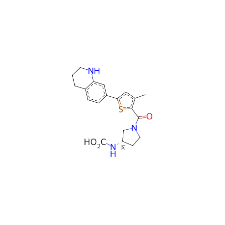 Cc1cc(-c2ccc3c(c2)NCCC3)sc1C(=O)N1CC[C@H](NC(=O)O)C1